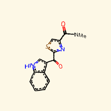 CNC(=O)c1csc(C(=O)c2c[nH]c3ccccc23)n1